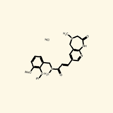 COc1cccc(CN(C)C(=O)C=Cc2cnc3c(c2)CN(C)CC(=O)N3)c1OC(C)C.Cl